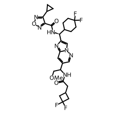 COCC(NC(=O)CC1CC(F)(F)C1)c1cnn2cc([C@@H](NC(=O)c3nonc3C3CC3)C3CCC(F)(F)CC3)nc2c1